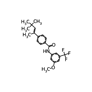 COc1cc(NC(=O)c2ccc(/C(C)=C/C(C)(C)C)cc2)cc(C(F)(F)F)c1